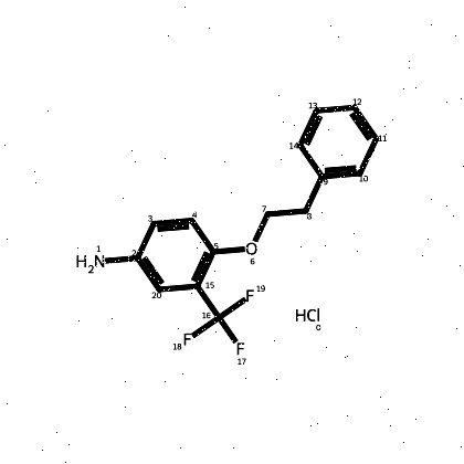 Cl.Nc1ccc(OCCc2ccccc2)c(C(F)(F)F)c1